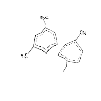 CC(=O)c1cccc(C(F)(F)F)c1.Cc1ccc(C#N)cc1